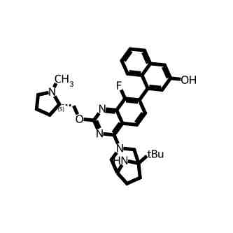 CN1CCC[C@H]1COc1nc(N2CC3CCC(C(C)(C)C)(C2)N3)c2ccc(-c3cc(O)cc4ccccc34)c(F)c2n1